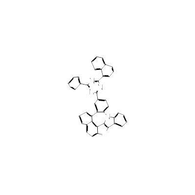 c1ccc(-c2nc(-c3ccc4c(c3)c3cccc5ccc6oc7c8ccccc8n4c7c6c53)nc(-c3cccc4ccccc34)n2)cc1